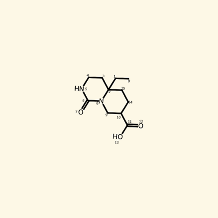 CCC12CCNC(=O)N1CC(C(=O)O)CC2